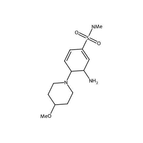 CNS(=O)(=O)C1=CC(N)C(N2CCC(OC)CC2)C=C1